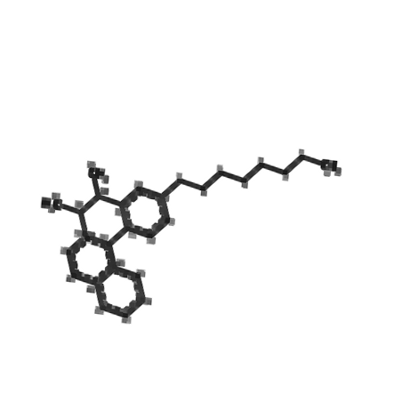 CCCCCCCCc1ccc2c(c1)C(C)C(C)[n+]1ccc3ccccc3c1-2